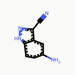 N#Cc1n[nH]c2ccc(N)cc12